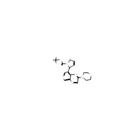 CC(C)(C)OC(=O)N1CC=CC1c1cncc2ncc(N3CCOCC3)nc12